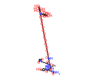 CC(C)C[C@H](NC(=O)[C@H](CCCCNC(=O)CCOCCOCCOCCOCCOCCOCCOCCOCCOCCOCCOCCOCCN(C[C@H](O)[C@@H](O)[C@H](O)[C@H](O)CO)C[C@H](O)[C@@H](O)[C@H](O)[C@H](O)CO)NC(=O)CCCCCN1C(=O)C=CC1=O)C(=O)N[C@@H](CCCNC(N)=O)C(=O)Nc1ccc(CO)cc1